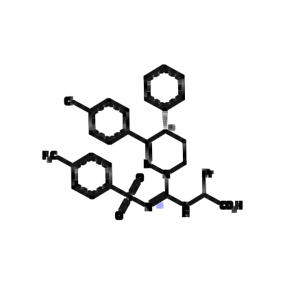 CC(C)C(N/C(=N/S(=O)(=O)c1ccc(C(F)(F)F)cc1)N1CC[C@@H](c2ccccc2)C(c2ccc(Cl)cc2)=N1)C(=O)O